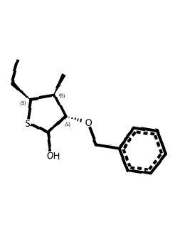 CC[C@@H]1SC(O)[C@@H](OCc2ccccc2)[C@@H]1C